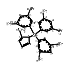 CC1=CC=C[C]1[Si](c1cc(C(C)C)cc(C(C)C)c1)(c1cc(C(C)C)cc(C(C)C)c1)c1cc(C(C)C)cc(C(C)C)c1